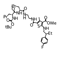 CCC(CNc1sc(C(=O)NCCNC(=O)[C@H](CC(C)C)NC(=O)[C@H](CC(C)C)NC(=O)OC(C)(C)C)c(C)c1C(=O)OC)c1ccc(F)cc1